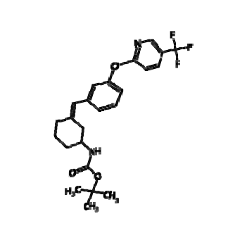 CC(C)(C)OC(=O)NC1CCCC(=Cc2cccc(Oc3ccc(C(F)(F)F)cn3)c2)C1